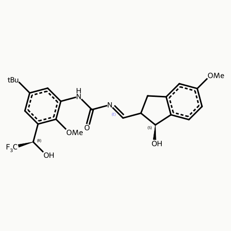 COc1ccc2c(c1)CC(/C=N/C(=O)Nc1cc(C(C)(C)C)cc([C@@H](O)C(F)(F)F)c1OC)[C@@H]2O